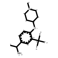 CC(N)c1ccc(OC2CCN(C)CC2)c(C(F)(F)F)c1